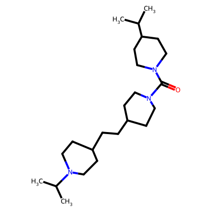 CC(C)C1CCN(C(=O)N2CCC(CCC3CCN(C(C)C)CC3)CC2)CC1